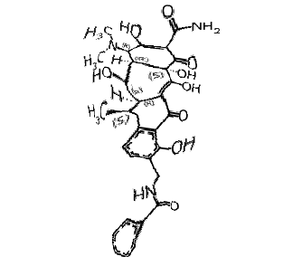 C[C@@H]1c2ccc(CNC(=O)c3ccccc3)c(O)c2C(=O)C2=C(O)[C@]3(O)C(=O)C(C(N)=O)=C(O)[C@H](N(C)C)[C@@H]3[C@H](O)[C@@H]21